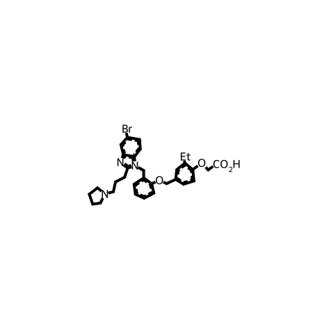 CCc1cc(COc2ccccc2Cn2c(CCCN3CCCC3)nc3cc(Br)ccc32)ccc1OCC(=O)O